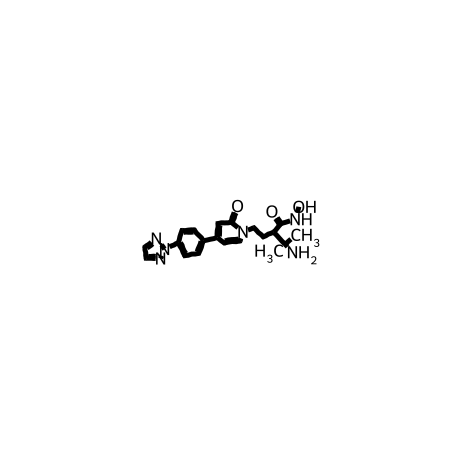 CC(C)(N)C(CCn1ccc(-c2ccc(-n3nccn3)cc2)cc1=O)C(=O)NO